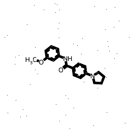 COc1cccc(NC(=O)c2ccc(N3CCCC3)cc2)c1